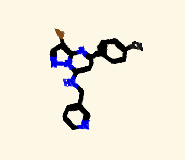 N#Cc1ccc(-c2cc(NCc3cccnc3)n3ncc(Br)c3n2)cc1